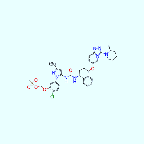 C[C@H]1CCCCN1c1nnc2ccc(O[C@@H]3CC[C@H](NC(=O)Nc4cc(C(C)(C)C)nn4-c4ccc(Cl)c(OCOS(C)(=O)=O)c4)c4ccccc43)cn12